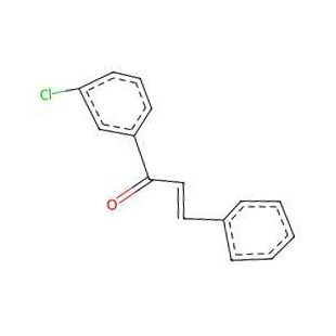 O=C(C=Cc1ccccc1)c1cccc(Cl)c1